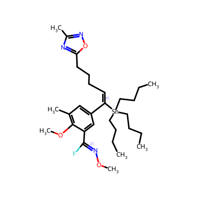 CCC[CH2][Sn]([CH2]CCC)([CH2]CCC)/[C](=C/CCCc1nc(C)no1)c1cc(C)c(OC)c(/C(F)=N/OC)c1